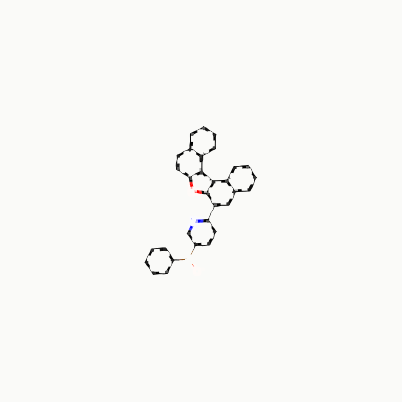 [O-][S+](c1ccccc1)c1ccc(-c2cc3ccccc3c3c2oc2ccc4ccccc4c23)nc1